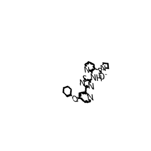 [O-][S+](c1cccnc1Nc1nc(-c2cc(OC3CCCCC3)ccn2)ns1)N1CCC1